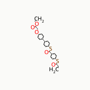 C=COC(=O)COc1ccc(-c2ccc(SC(=O)c3ccc(SC(=O)C=C)cc3)cc2)cc1